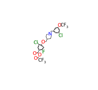 O=C(OC(=O)C(F)(F)F)c1cc(Cl)c(OCC2CCN(Cc3cc(Cl)cc(OC(F)(F)F)c3)CC2)cc1F